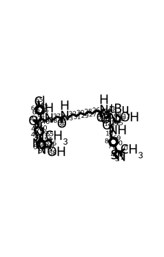 Cc1ncsc1-c1ccc(CNC(=O)[C@@H]2C[C@@H](O)CN2C(=O)C(NC(=O)CCCCCCCCNC(=O)CCNCC(C(=O)N2CCN(c3ncnc4c3[C@H](C)C[C@H]4O)CC2)c2ccc(Cl)cc2)C(C)(C)C)cc1